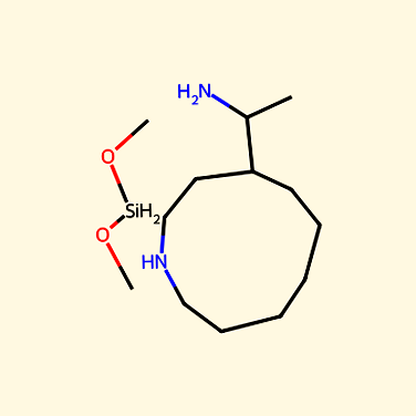 CC(N)C1CCCCCCNCC1.CO[SiH2]OC